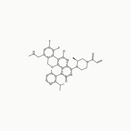 C=CC(=O)N1CCN(c2nc(=O)n(-c3c(C)ccnc3C(C)C)c3c4c(c(Cl)nc23)-c2c(F)c(F)cc(CNC)c2CO4)[C@@H](C)C1